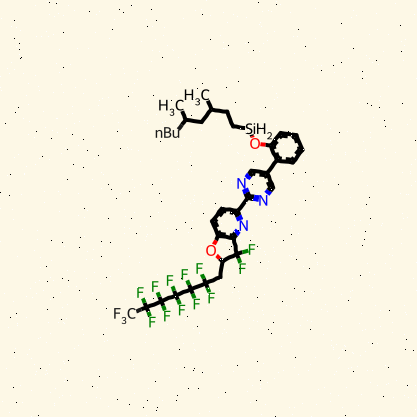 CCCCC(C)CC(C)CC[SiH2]Oc1ccccc1-c1cnc(-c2ccc3c(n2)C(F)(F)C(CC(F)(F)C(F)(F)C(F)(F)C(F)(F)C(F)(F)C(F)(F)F)O3)nc1